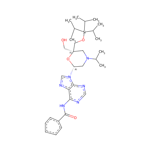 CC(C)N1C[C@H](n2cnc3c(NC(=O)c4ccccc4)ncnc32)O[C@@](CO)(CO[Si](C(C)C)(C(C)C)C(C)C)C1